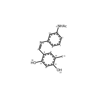 CC(=O)Nc1cccc(/N=C\c2cc(I)c(O)cc2O)c1